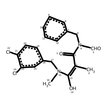 C/C(C(=O)N(C=O)Cc1ccccc1)=C(\O)N(C)Cc1ccc(Cl)c(Cl)c1